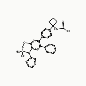 O=C(O)NC1(c2ccc(-c3nc4c(cc3-c3ccccc3)N(c3cccnc3)S(O)(O)CO4)cc2)CCC1